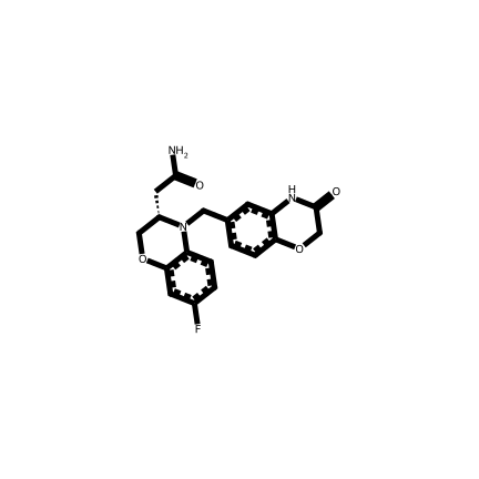 NC(=O)C[C@H]1COc2cc(F)ccc2N1Cc1ccc2c(c1)NC(=O)CO2